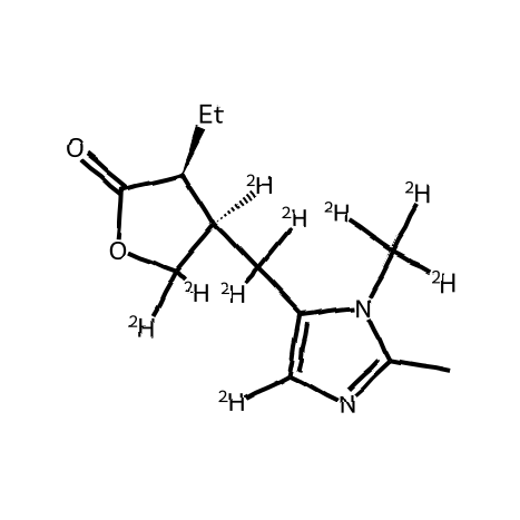 [2H]c1nc(C)n(C([2H])([2H])[2H])c1C([2H])([2H])[C@]1([2H])[C@H](CC)C(=O)OC1([2H])[2H]